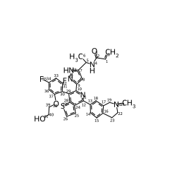 C=CC(=O)NC(C)c1cc(-c2nc(-c3ccc4c(c3)CN(C)CC4)c3ccsc3c2-c2c(F)cc(F)cc2OCCO)n[nH]1